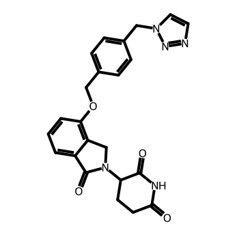 O=C1CCC(N2Cc3c(OCc4ccc(Cn5ccnn5)cc4)cccc3C2=O)C(=O)N1